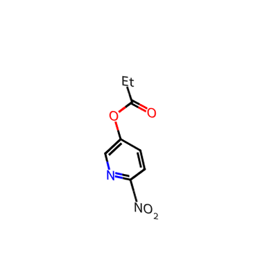 CCC(=O)Oc1ccc([N+](=O)[O-])nc1